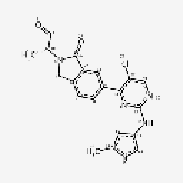 C[C@H](C=O)N1Cc2ccc(-c3nc(Nc4cnn(C)c4)ncc3Cl)cc2C1=O